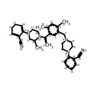 C=C(c1cc(CN2CCN(c3ccccc3C#N)CC2)c(C)cc1C)N1CCN(C2=CCCC=C2C#N)CC1C